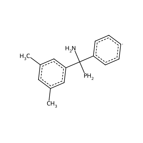 Cc1cc(C)cc(C(N)(P)c2cc[c]cc2)c1